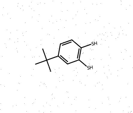 CC(C)(C)c1ccc(S)c(S)c1